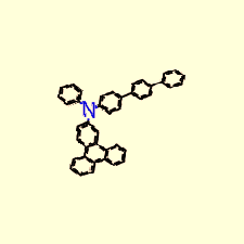 c1ccc(-c2ccc(-c3ccc(N(c4ccccc4)c4ccc5c6ccccc6c6ccccc6c5c4)cc3)cc2)cc1